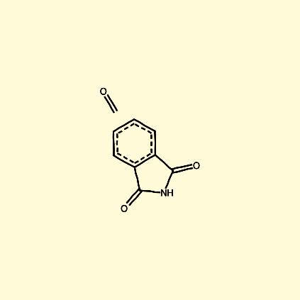 C=O.O=C1NC(=O)c2ccccc21